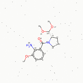 COc1cccc(C(=O)N2CCC[C@H]2C(OC)OC)c1N